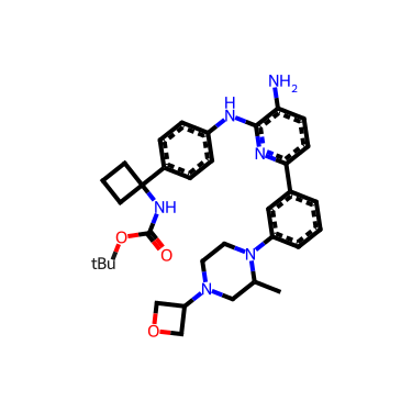 CC1CN(C2COC2)CCN1c1cccc(-c2ccc(N)c(Nc3ccc(C4(NC(=O)OC(C)(C)C)CCC4)cc3)n2)c1